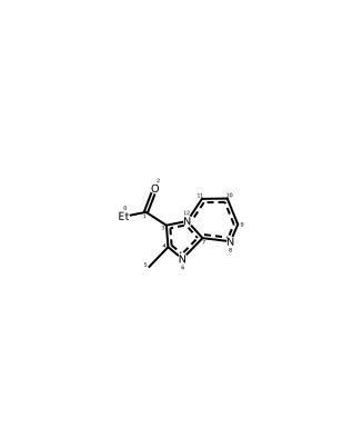 CCC(=O)c1c(C)nc2ncccn12